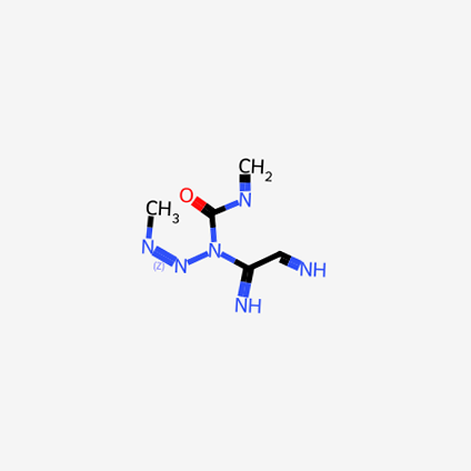 C=NC(=O)N(/N=N\C)C(=N)C=N